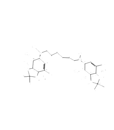 CC(=O)N(CCCCCCN(C(C)=O)[C@H]1C=C(I)[C@H]2OC(C)(C)O[C@H]2[C@@H]1O)[C@H]1C=C(I)[C@H]2OC(C)(C)O[C@H]2[C@@H]1O